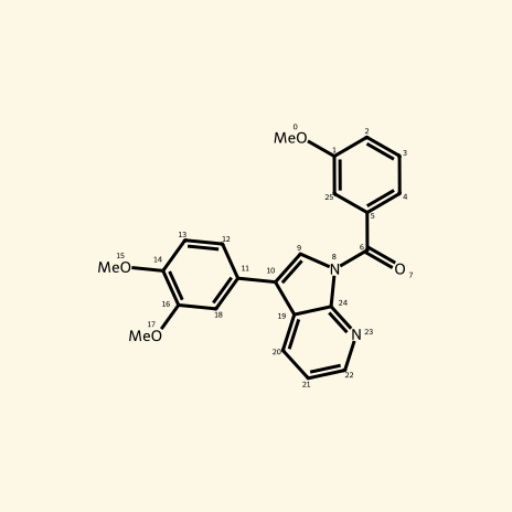 COc1cccc(C(=O)n2cc(-c3ccc(OC)c(OC)c3)c3cccnc32)c1